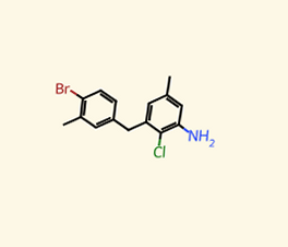 Cc1cc(N)c(Cl)c(Cc2ccc(Br)c(C)c2)c1